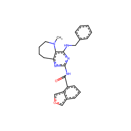 CN1CCCCc2nc(NC(=O)c3cccc4cocc34)nc(NCc3ccccc3)c21